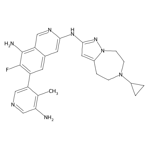 Cc1c(N)cncc1-c1cc2cc(Nc3cc4n(n3)CCN(C3CC3)CC4)ncc2c(N)c1F